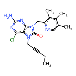 CCC#CCn1c(=O)n(Cc2ncc(C)c(C)c2C)c2nc(N)nc(Cl)c21